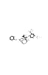 COC(=O)c1cc(OC)cc(C)c1NC(=O)C1([N+]2(CC(=O)OCc3ccccc3)CCCCCC2)CC1